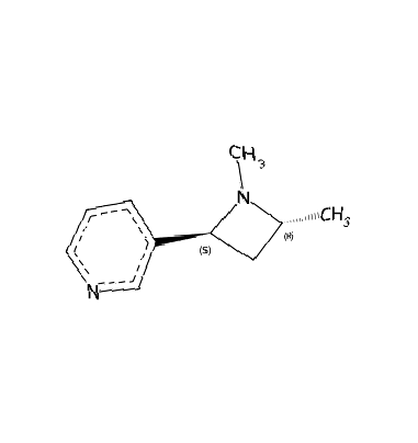 C[C@@H]1C[C@@H](c2cccnc2)N1C